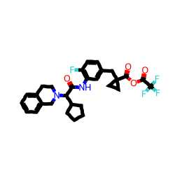 O=C(Nc1cc(CC2(C(=O)OC(=O)C(F)(F)F)CC2)ccc1F)C(C1CCCC1)N1CCc2ccccc2C1